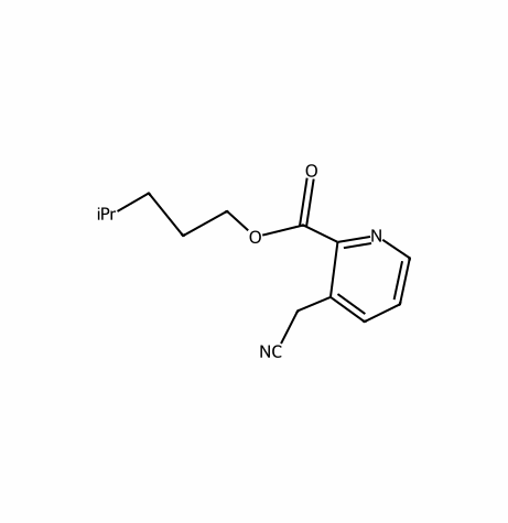 CC(C)CCCOC(=O)c1ncccc1CC#N